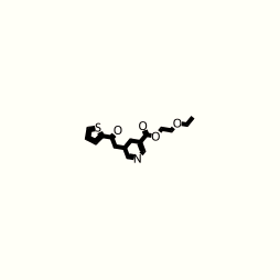 CCOCCOC(=O)C1=CN=CC(CC(=O)c2cccs2)C1